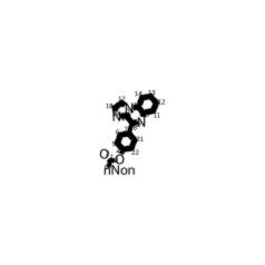 CCCCCCCCCC(=O)Oc1ccc(-c2nc3ccccc3n3ccnc23)cc1